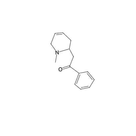 CN1CC=CCC1CC(=O)c1ccccc1